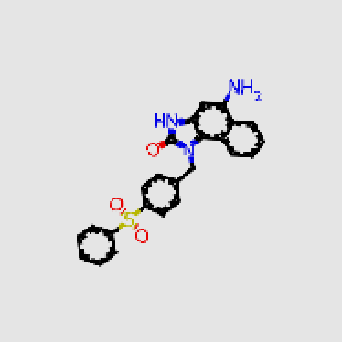 Nc1cc2[nH]c(=O)n(Cc3ccc(S(=O)(=O)c4ccccc4)cc3)c2c2ccccc12